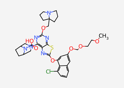 COCCOCOc1cc(Oc2nc3c(N4CC5CCC(C4)N5C(=O)O)nc(OCC45CCCN4CCC5)nc3s2)c2c(Cl)cccc2c1